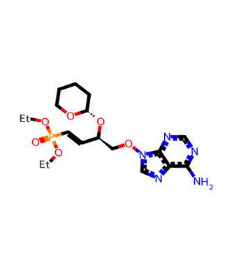 CCOP(=O)(C=C[C@H](COn1cnc2c(N)ncnc21)O[C@H]1CCCCO1)OCC